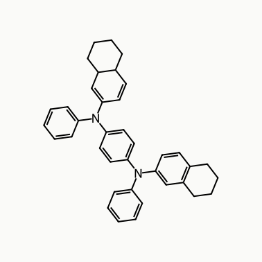 C1=CC2CCCCC2C=C1N(c1ccccc1)c1ccc(N(c2ccccc2)c2ccc3c(c2)CCCC3)cc1